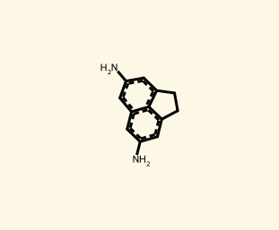 Nc1cc2c3c(cc(N)cc3c1)CC2